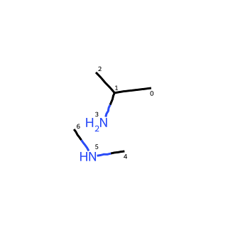 CC(C)N.CNC